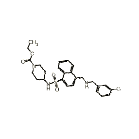 CCOC(=O)N1CCC(NS(=O)(=O)c2ccc(CNCc3cccc(Cl)c3)c3ccccc23)CC1